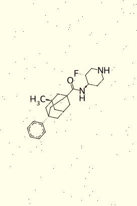 C[C@]12CC3CC(C(=O)N[C@@H]4CCNC[C@H]4F)(C1)C[C@@](c1ccccc1)(C3)C2